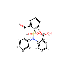 O=Cc1ccccc1S(=O)(=O)N(c1ccccc1)c1ccccc1C(=O)O